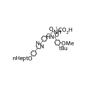 CCCCCCCOc1ccc(-c2cnc(-c3ccc(C[C@H](NC(=O)c4ccc(C(C)(C)C)c(OC)c4)C(=O)N[C@H](C)C(=O)O)cc3)nc2)cc1